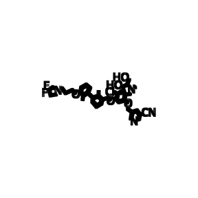 Cc1c(COc2cc(OCc3cncc(C#N)c3)c(CN(C)C(CO)CO)cc2Cl)cccc1-c1cccc(OCCCN2CCC(F)(F)C2)c1C